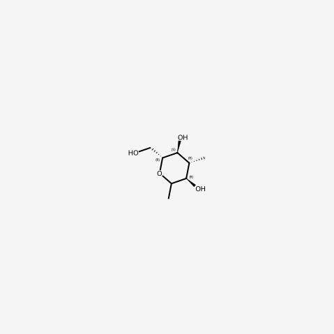 CC1O[C@H](CO)[C@@H](O)[C@H](C)[C@H]1O